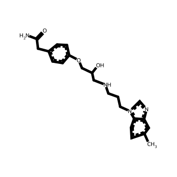 Cc1ccc2c(c1)ncn2CCCNCC(O)COc1ccc(CC(N)=O)cc1